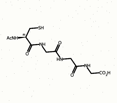 CC(=O)N[C@@H](CS)C(=O)NCC(=O)NCC(=O)NCC(=O)O